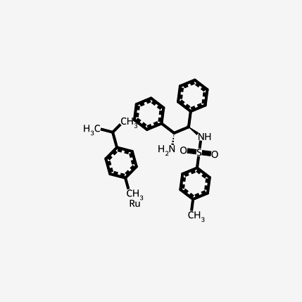 Cc1ccc(C(C)C)cc1.Cc1ccc(S(=O)(=O)N[C@H](c2ccccc2)[C@H](N)c2ccccc2)cc1.[Ru]